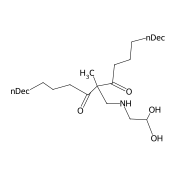 CCCCCCCCCCCCCC(=O)C(C)(CNCC(O)O)C(=O)CCCCCCCCCCCCC